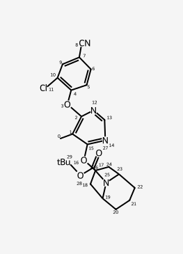 Cc1c(Oc2ccc(C#N)cc2Cl)ncnc1OC1CC2CCCC(C1)N2C(=O)OC(C)(C)C